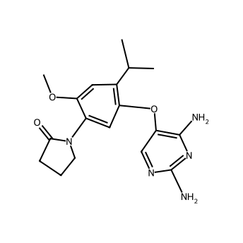 COc1cc(C(C)C)c(Oc2cnc(N)nc2N)cc1N1CCCC1=O